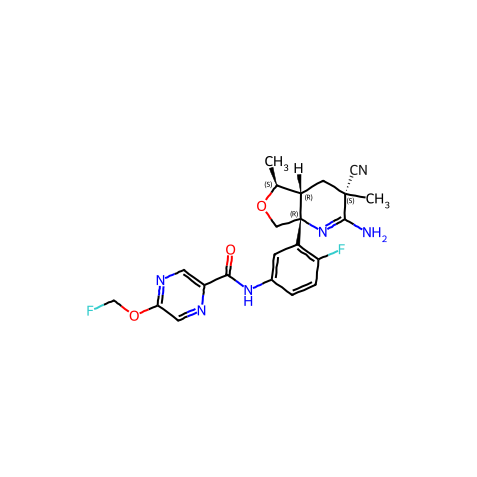 C[C@@H]1OC[C@@]2(c3cc(NC(=O)c4cnc(OCF)cn4)ccc3F)N=C(N)[C@@](C)(C#N)C[C@@H]12